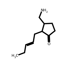 CC/C=C/CC1C(=O)CCC1CN